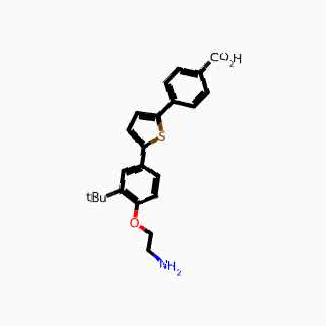 CC(C)(C)c1cc(-c2ccc(-c3ccc(C(=O)O)cc3)s2)ccc1OCCN